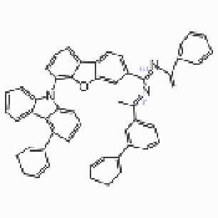 C=C(/N=C(\N=C(/C)c1cccc(C2=CCCC=C2)c1)c1ccc2c(c1)oc1c(-n3c4ccccc4c4c(C5=CCCC=C5)cccc43)cccc12)c1ccccc1